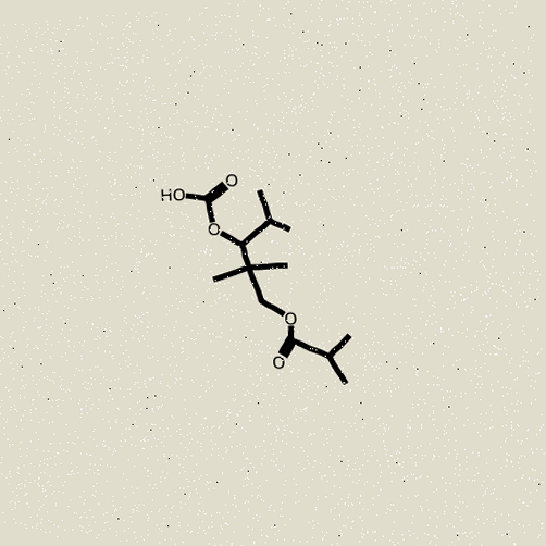 CC(C)C(=O)OCC(C)(C)C(OC(=O)O)C(C)C